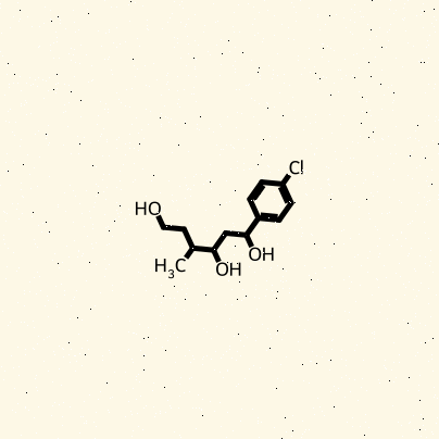 CC(CCO)C(O)CC(O)c1ccc(Cl)cc1